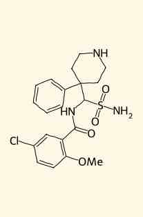 COc1ccc(Cl)cc1C(=O)NC(C1(c2ccccc2)CCNCC1)S(N)(=O)=O